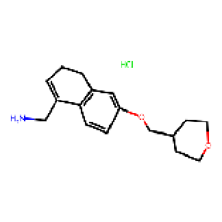 Cl.NCC1=CCCc2cc(OCC3CCOCC3)ccc21